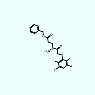 N[C@@H](CCC(=O)OCc1ccccc1)C(=O)COc1c(F)c(F)cc(F)c1F